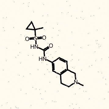 CN1CCc2cc(NC(=O)NS(=O)(=O)C3(C)CC3)ccc2C1